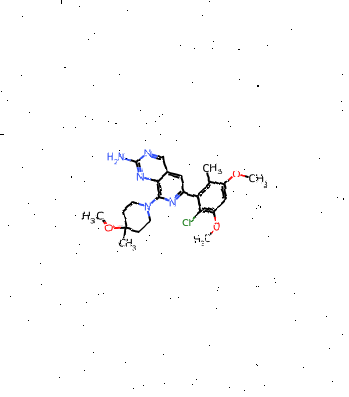 COc1cc(OC)c(Cl)c(-c2cc3cnc(N)nc3c(N3CCC(C)(OC)CC3)n2)c1C